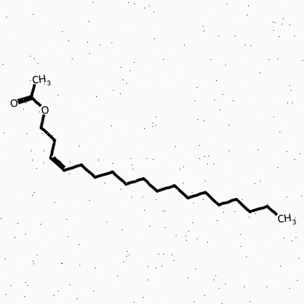 CCCCCCCCCCCCCC/C=C\CCOC(C)=O